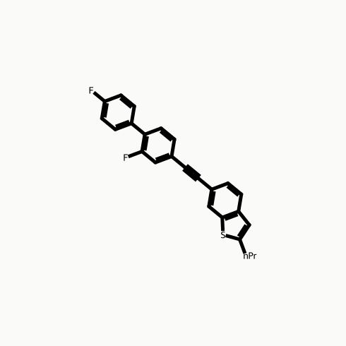 CCCc1cc2ccc(C#Cc3ccc(-c4ccc(F)cc4)c(F)c3)cc2s1